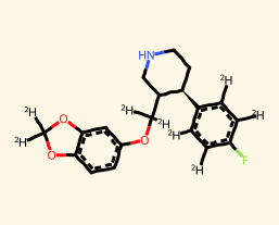 [2H]c1c([2H])c([C@@H]2CCNCC2C([2H])([2H])Oc2ccc3c(c2)OC([2H])([2H])O3)c([2H])c([2H])c1F